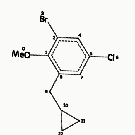 COc1c(Br)cc(Cl)cc1CC1CC1